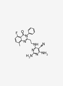 Cc1ccc(F)c2c(=O)n(-c3ccccc3)c(CCNc3nc(N)nc(N)c3C#N)nc12